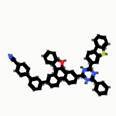 N#Cc1ccc(-c2cccc(-c3ccc4c5ccc(-c6nc(-c7ccccc7)nc(-c7ccc8c(c7)sc7ccccc78)n6)cc5c5oc6ccccc6c5c4c3)c2)cc1